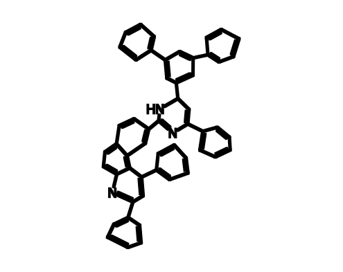 C1=C(c2ccccc2)N=C(c2ccc3ccc4nc(-c5ccccc5)cc(-c5ccccc5)c4c3c2)NC1c1cc(-c2ccccc2)cc(-c2ccccc2)c1